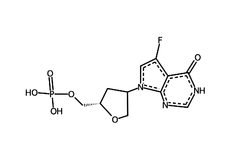 O=c1[nH]cnc2c1c(F)cn2C1CO[C@H](COP(=O)(O)O)C1